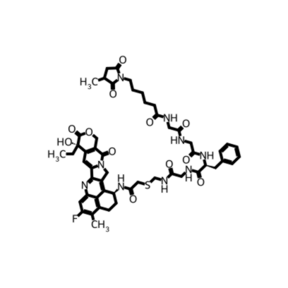 CC[C@@]1(O)C(=O)OCc2c1cc1n(c2=O)Cc2c-1nc1cc(F)c(C)c3c1c2[C@@H](NC(=O)CSCNC(=O)CNC(=O)[C@H](Cc1ccccc1)NC(=O)CNC(=O)CNC(=O)CCCCCN1C(=O)CC(C)C1=O)CC3